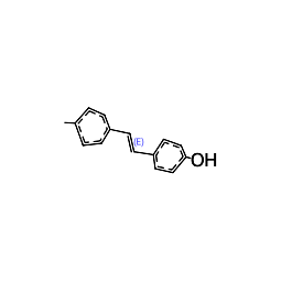 Cc1ccc(/C=C/c2ccc(O)cc2)cc1